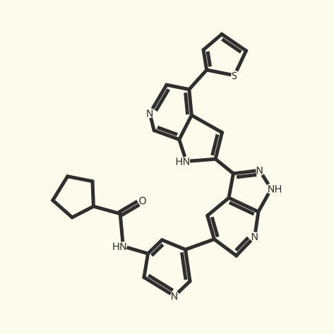 O=C(Nc1cncc(-c2cnc3[nH]nc(-c4cc5c(-c6cccs6)cncc5[nH]4)c3c2)c1)C1CCCC1